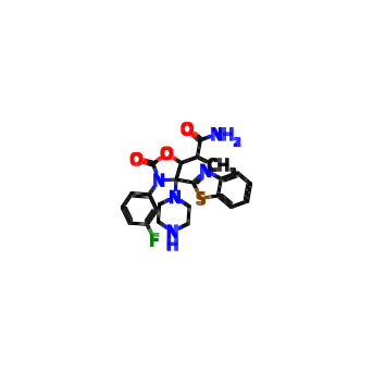 CC(C(N)=O)C1OC(=O)N(c2cccc(F)c2)C1(c1nc2ccccc2s1)N1CCNCC1